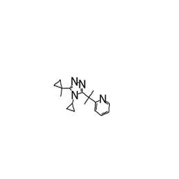 CC1(c2nnc(C(C)(C)c3ccccn3)n2C2CC2)CC1